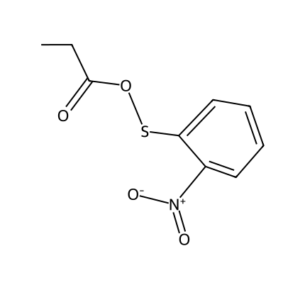 CCC(=O)OSc1ccccc1[N+](=O)[O-]